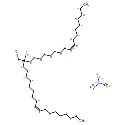 CCCCCCCC/C=C\CCCCCCCCC(C)(CCl)CCCCCCCC/C=C\CCCCCCCC.CN(C)C